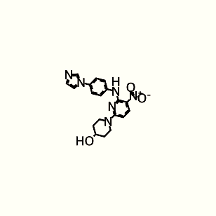 O=[N+]([O-])c1ccc(N2CCC(O)CC2)nc1Nc1ccc(-n2ccnc2)cc1